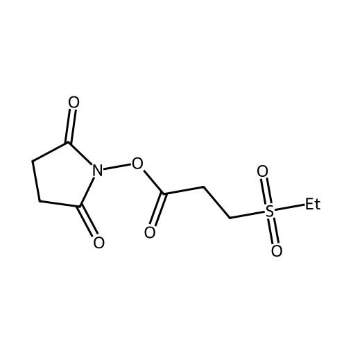 CCS(=O)(=O)CCC(=O)ON1C(=O)CCC1=O